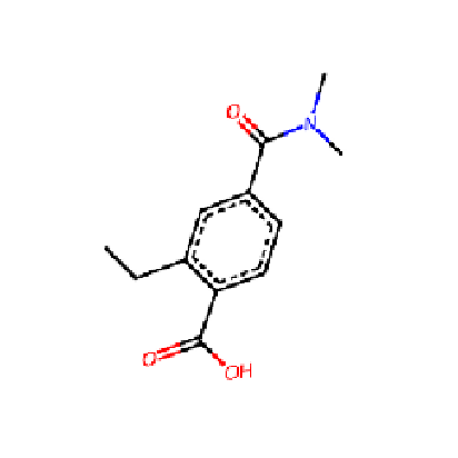 CCc1cc(C(=O)N(C)C)ccc1C(=O)O